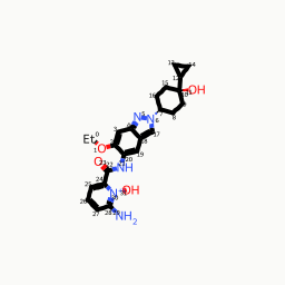 CCOc1cc2nn([C@H]3CC[C@@](O)(C4CC4)CC3)cc2cc1NC(=O)c1cccc(N)[n+]1O